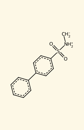 [CH2-][NH2+]S(=O)(=O)c1ccc(-c2ccccc2)cc1